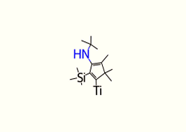 CC1=C(NC(C)(C)C)C([Si](C)(C)C)=[C]([Ti])C1(C)C